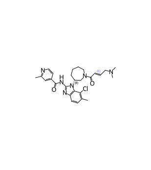 Cc1cc(C(=O)Nc2nc3ccc(C)c(Cl)c3n2[C@@H]2CCCCN(C(=O)/C=C/CN(C)C)C2)ccn1